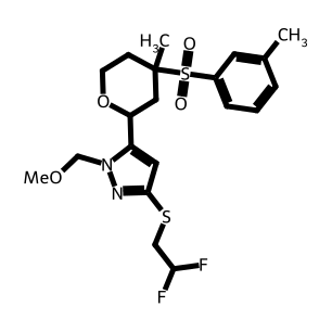 COCn1nc(SCC(F)F)cc1C1CC(C)(S(=O)(=O)c2cccc(C)c2)CCO1